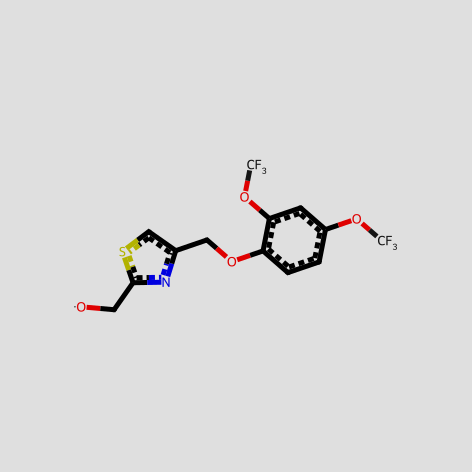 [O]Cc1nc(COc2ccc(OC(F)(F)F)cc2OC(F)(F)F)cs1